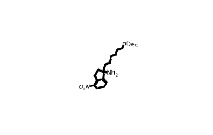 CCCCCCCCCCCCCCCCC1(N)CCc2c([N+](=O)[O-])cccc21